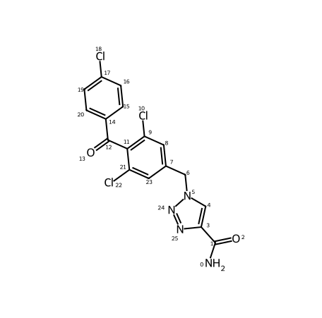 NC(=O)c1cn(Cc2cc(Cl)c(C(=O)c3ccc(Cl)cc3)c(Cl)c2)nn1